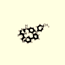 CN1CCC(NC2CCC(Nc3ncc(F)c(-c4cnc5ccc(-c6ccccc6)cn45)n3)CC2)CC1